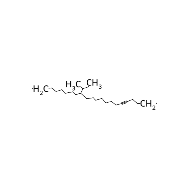 [CH2]CCC#CCCCCCCCC(CCCCCC[CH2])C(C)CC